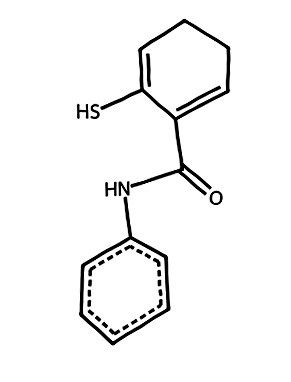 O=C(Nc1ccccc1)C1=CCCC=C1S